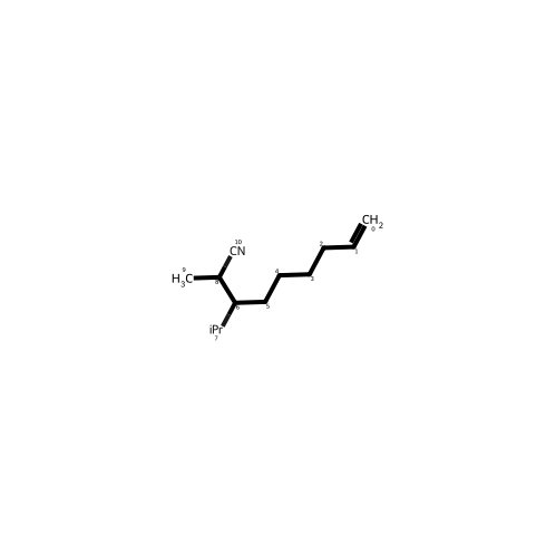 C=CCCCCC(C(C)C)C(C)C#N